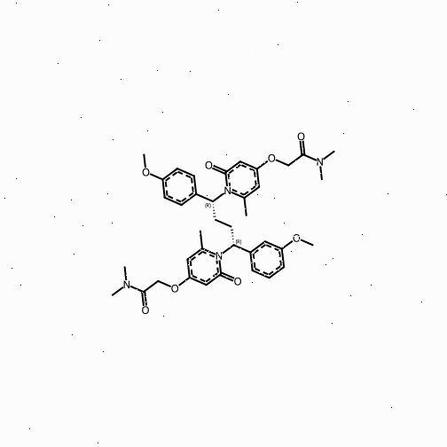 COc1ccc([C@@H](CC[C@H](c2cccc(OC)c2)n2c(C)cc(OCC(=O)N(C)C)cc2=O)n2c(C)cc(OCC(=O)N(C)C)cc2=O)cc1